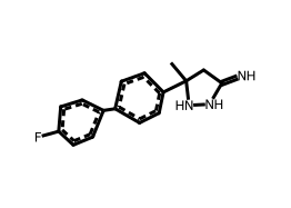 CC1(c2ccc(-c3ccc(F)cc3)cc2)CC(=N)NN1